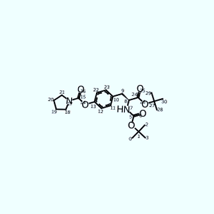 CC(C)(C)OC(=O)N[C@@H](Cc1ccc(OC(=O)N2CCCC2)cc1)C(=O)OC(C)(C)C